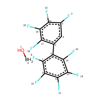 BO.Fc1cc(-c2c(F)c(F)c(F)c(F)c2F)c(F)c(F)c1F